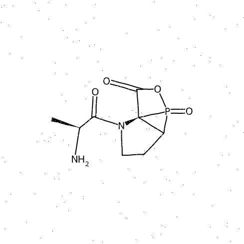 C[C@H](N)C(=O)N1CCC2[C@@]13C(=O)OP23=O